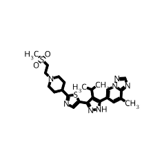 Cc1cc(-c2[nH]nc(-c3cnc(C4CCN(CCS(C)(=O)=O)CC4)s3)c2C(C)C)cn2ncnc12